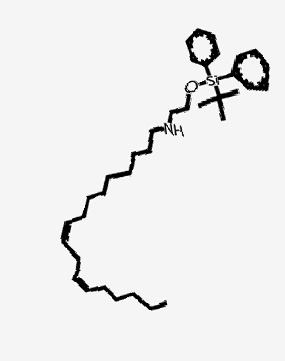 CCCCC/C=C\C/C=C\CCCCCCCCNCCO[Si](c1ccccc1)(c1ccccc1)C(C)(C)C